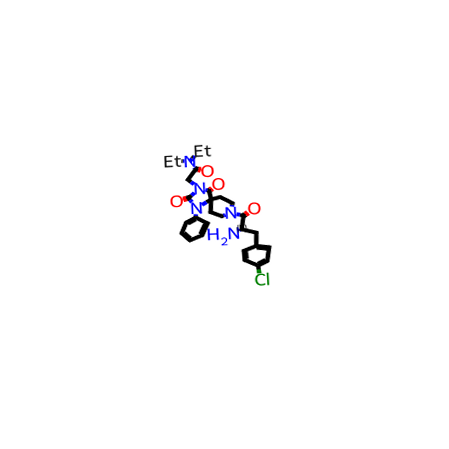 CCN(CC)C(=O)CN1C(=O)N(c2ccccc2)C2(CCN(C(=O)[C@H](N)Cc3ccc(Cl)cc3)CC2)C1=O